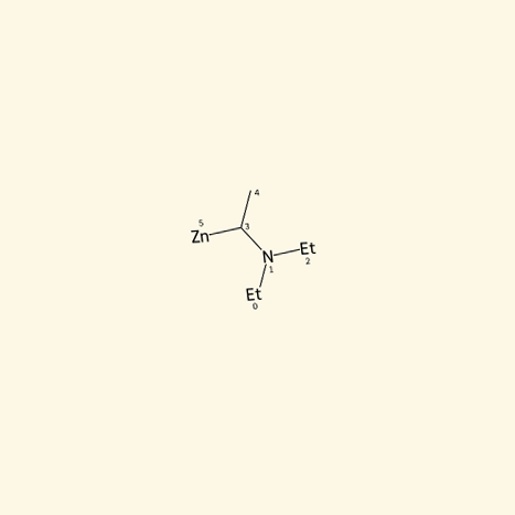 CCN(CC)[CH](C)[Zn]